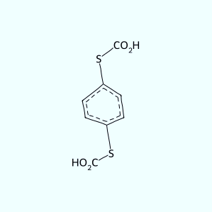 O=C(O)Sc1ccc(SC(=O)O)cc1